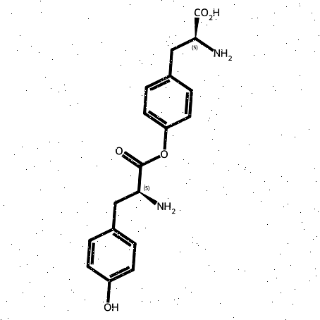 N[C@@H](Cc1ccc(OC(=O)[C@@H](N)Cc2ccc(O)cc2)cc1)C(=O)O